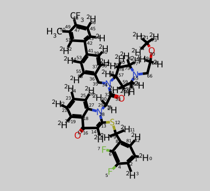 [2H]c1c([2H])c(F)c(F)c(C([2H])([2H])Sc2c([2H])c(=O)c3c([2H])c([2H])c([2H])c([2H])c3n2C([2H])([2H])C(=O)N(Cc2c([2H])c([2H])c(-c3c([2H])c([2H])c(C(F)(F)F)c(C)c3[2H])c([2H])c2[2H])C2([2H])C([2H])([2H])C([2H])([2H])N(CC([2H])([2H])OC([2H])([2H])[2H])C([2H])([2H])C2([2H])[2H])c1[2H]